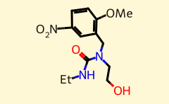 CCNC(=O)N(CCO)Cc1cc([N+](=O)[O-])ccc1OC